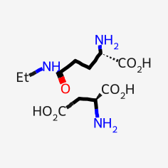 CCNC(=O)CC[C@H](N)C(=O)O.N[C@@H](CC(=O)O)C(=O)O